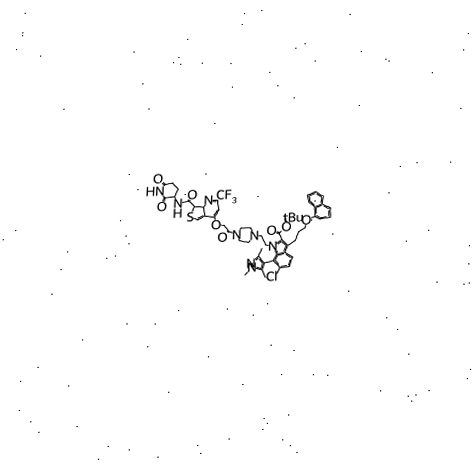 Cc1nn(C)c(C)c1-c1c(Cl)ccc2c(CCCOc3cccc4ccccc34)c(C(=O)OC(C)(C)C)n(CCN3CCN(C(=O)COC4=CC(C(F)(F)F)=NC5C4=CSC5C(=O)NC4CCC(=O)NC4=O)CC3)c12